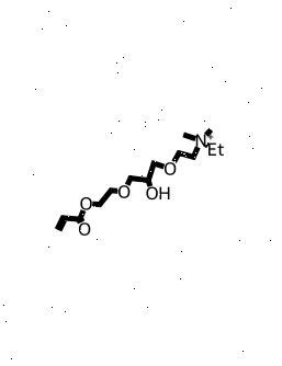 C=CC(=O)OCCOCC(O)COCC[N+](C)(C)CC